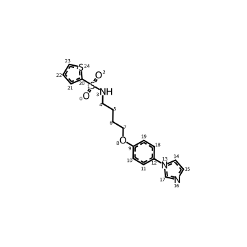 O=S(=O)(NCCCCOc1ccc(-n2ccnc2)cc1)c1cccs1